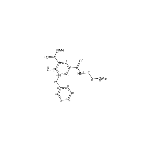 CNC(=O)c1cc(C(=O)NCCOC)cn(Cc2ccccc2)c1=O